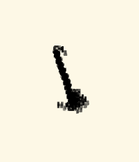 CCCCCCCCCCCCCCCCCCC(Cc1cc(C(C)(C)C)c(O)c(C(C)(C)C)c1)C(O)=[O+][S-]